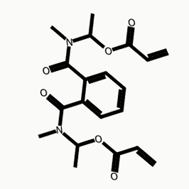 C=CC(=O)OC(C)N(C)C(=O)c1ccccc1C(=O)N(C)C(C)OC(=O)C=C